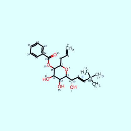 C=CCC1OC([C@@H](O)/C=C/[Si](C)(C)C)C(O)C(O)C1OC(=O)c1ccccc1